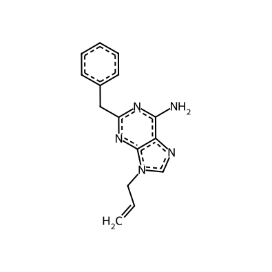 C=CCn1cnc2c(N)nc(Cc3ccccc3)nc21